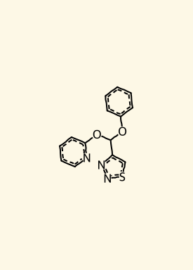 c1ccc(OC(Oc2ccccn2)c2csnn2)cc1